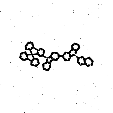 c1ccc2c(c1)-c1ccccc1C21c2ccccc2-c2ccc(-n3c4ccccc4c4cc(-c5ccc6c(c5)c5ccccc5n6-c5ccc6ccccc6c5)ccc43)cc21